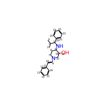 CC(C)C(NC1CCN(C=Cc2ccccc2)CC1O)c1ccccc1